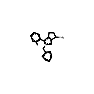 CNC1CCc2c1cn(Cc1ccccc1)c2-c1ccccc1F